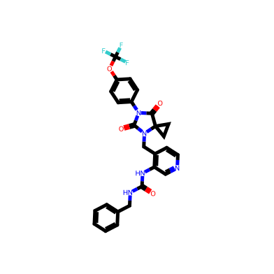 O=C(NCc1ccccc1)Nc1cnccc1CN1C(=O)N(c2ccc(OC(F)(F)F)cc2)C(=O)C12CC2